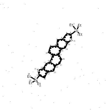 CC[Si](CC)(CC)c1cc2cc3ccc4c5cc6sc([Si](CC)(CC)CC)cc6cc5ccc4c3cc2s1